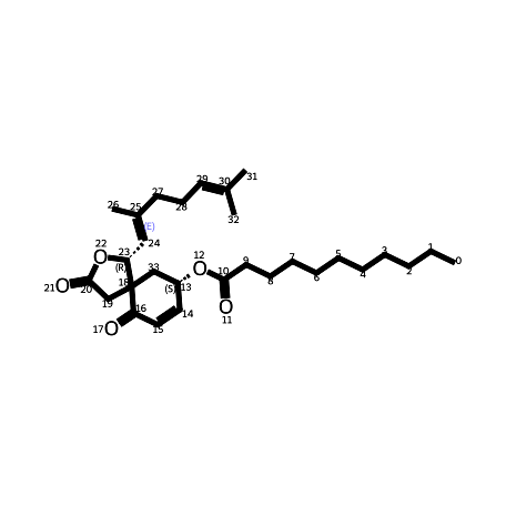 CCCCCCCCCCC(=O)O[C@@H]1C=CC(=O)C2(CC(=O)O[C@@H]2/C=C(\C)CCC=C(C)C)C1